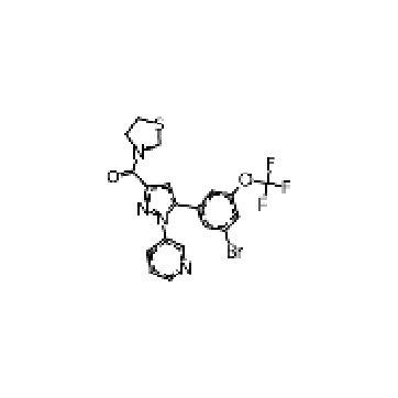 O=C(c1cc(-c2cc(Br)cc(OC(F)(F)F)c2)n(-c2cccnc2)n1)N1CCSC1